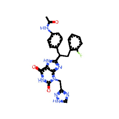 CC(=O)Nc1ccc(C(Cc2ccccc2F)c2nc3c([nH]2)c(=O)[nH]c(=O)n3Cc2nc[nH]n2)cc1